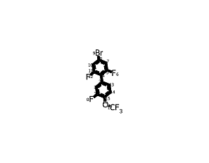 Fc1cc(-c2c(F)cc(Br)cc2F)ccc1OC(F)(F)F